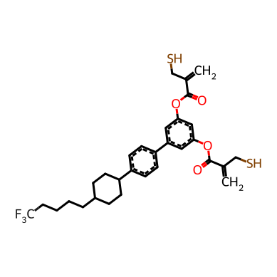 C=C(CS)C(=O)Oc1cc(OC(=O)C(=C)CS)cc(-c2ccc(C3CCC(CCCCC(F)(F)F)CC3)cc2)c1